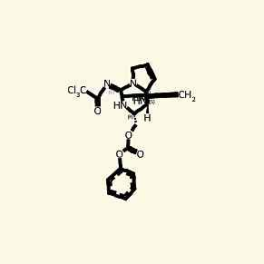 C=C1N[C@H]2[C@H](COC(=O)Oc3ccccc3)N/C(=N\C(=O)C(Cl)(Cl)Cl)N3CC=C[C@]23N1